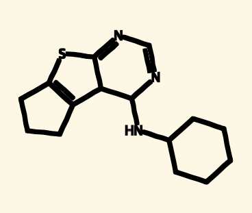 C1=NC(NC2CCCCC2)C2C(=N1)SC1=C2CCC1